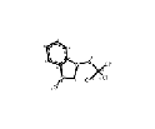 [O-][S+]1CN(SC(Cl)(Cl)Cl)c2ccccc21